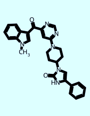 Cn1cc(C(=O)c2cc(N3CCC(n4cc(-c5ccccc5)[nH]c4=O)CC3)ncn2)c2ccccc21